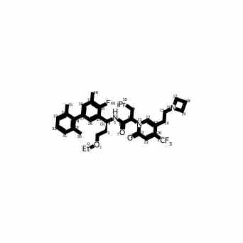 CCOCC[C@H](NC(=O)C(CC(C)C)n1cc(CCN2CCC2)c(C(F)(F)F)cc1=O)c1cc(-c2c(C)cccc2C)cc(C)c1F